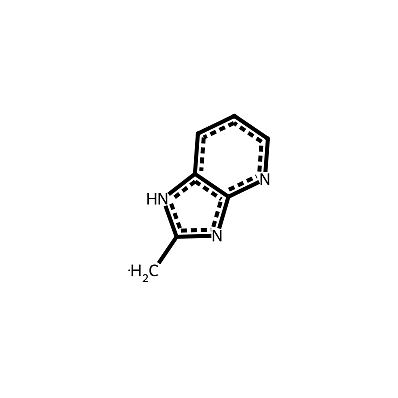 [CH2]c1nc2ncccc2[nH]1